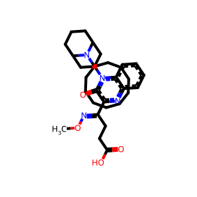 CO/N=C(\CCC(=O)O)c1nc2ccccc2n(C2CC3CCCC(C2)N3C2CCCCCCCCC2)c1=O